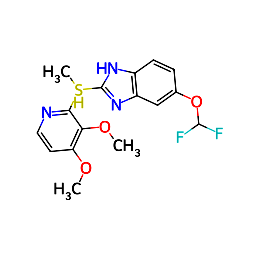 COc1ccnc([SH](C)c2nc3cc(OC(F)F)ccc3[nH]2)c1OC